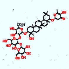 CC1=C(O)C(=O)CC(OC2CC(C)(C)CC3C4=CCC5C6(C)CCC(OC7OC(C(=O)O)C(O)C(O)C7OC7OC(CO)C(O)C(O)C7OC7OC(CO)C(O)C(O)C7O)C(C)(CO)C6CCC5(C)C4(C)CCC23C)O1